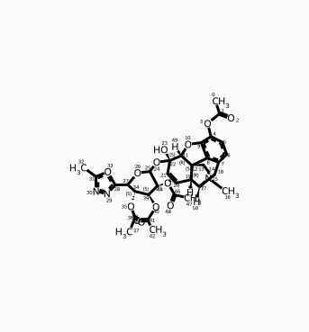 CC(=O)Oc1ccc2c3c1O[C@@H]1[C@]34CCN(C)[C@H](C2)[C@@H]4C=C[C@]1(O)OC1OC(c2nnc(C)o2)[C@@H](OC(C)=O)[C@H](OC(C)=O)[C@H]1OC(C)=O